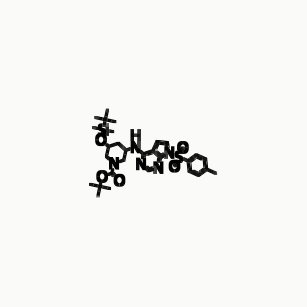 Cc1ccc(S(=O)(=O)n2ccc3c(NC4CC(O[Si](C)(C)C(C)(C)C)CN(C(=O)OC(C)(C)C)C4)ncnc32)cc1